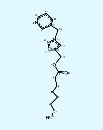 N#CSCCCCCC(=O)OCc1cn(Cc2cccnc2)nn1